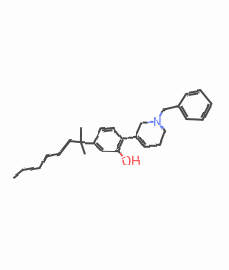 CCCCCCC(C)(C)c1ccc(C2=CCCN(Cc3ccccc3)C2)c(O)c1